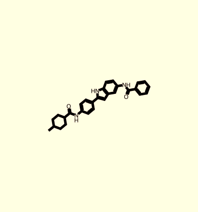 CC1CCC(C(=O)Nc2ccc(-c3cc4cc(NC(=O)c5ccccc5)ccc4[nH]3)cc2)CC1